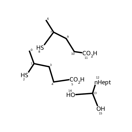 CC(S)CCC(=O)O.CC(S)CCC(=O)O.CCCCCCCC(O)O